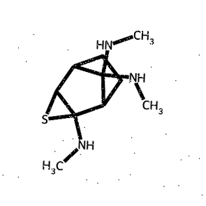 CNC1(NC)C2CCC1C1(NC)SC21